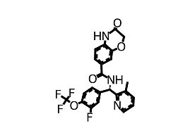 Cc1cccnc1[C@@H](NC(=O)c1ccc2c(c1)OCC(=O)N2)c1ccc(OC(F)(F)F)c(F)c1